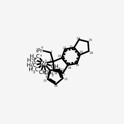 CC(C)C[C]1([Zr]([CH3])([CH3])([CH3])([CH3])([CH3])([CH3])([CH3])[CH]2C=CC=C2)C=Cc2cc3c(cc21)CCC3